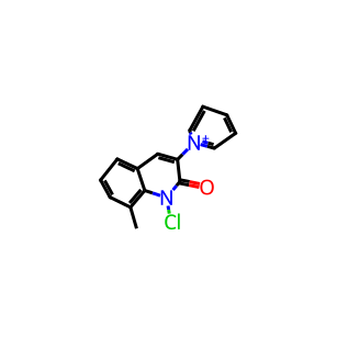 Cc1cccc2cc(-[n+]3ccccc3)c(=O)n(Cl)c12